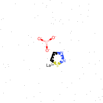 [La+3].[O-]B([O-])[O-].c1csnn1